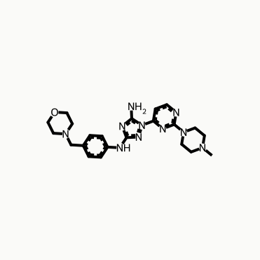 CN1CCN(c2nccc(-n3nc(Nc4ccc(CN5CCOCC5)cc4)nc3N)n2)CC1